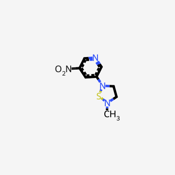 CN1CCN(c2cncc([N+](=O)[O-])c2)S1